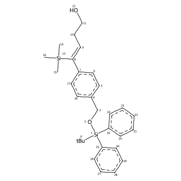 CC(C)(C)[Si](OCc1ccc(C(=CCCO)[Si](C)(C)C)cc1)(c1ccccc1)c1ccccc1